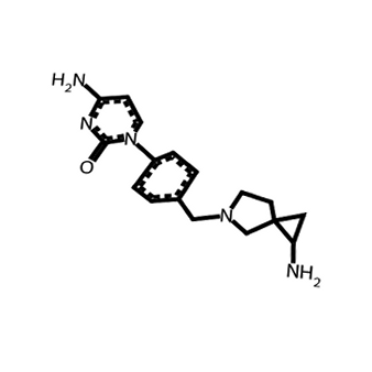 Nc1ccn(-c2ccc(CN3CCC4(CC4N)C3)cc2)c(=O)n1